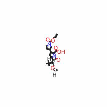 C=CCOC(=O)N1CCC(C2=C(C(=O)O)N3C(=O)[C@@H]([C@@H](CO[SiH](C)C)C(C)(C)C)[C@H]3C2)C1